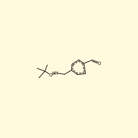 CC(C)(C)ONCc1ccc(C=O)cc1